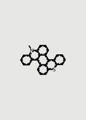 Cn1c2ccccc2c2c3cccc4sc5ccccc5c(c5cccc1c52)c43